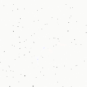 CSc1cc(C(F)(F)F)cc(O)c1C(=O)NC(c1ccccc1)C1(N2CCCC2)CCC1